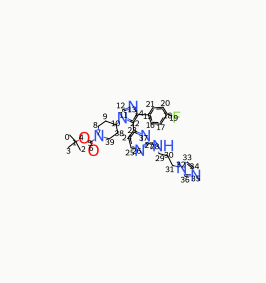 CC(C)(C)OC(=O)N1CCC(n2cnc(-c3ccc(F)cc3)c2-c2ccnc(NCCCn3ccnc3)n2)CC1